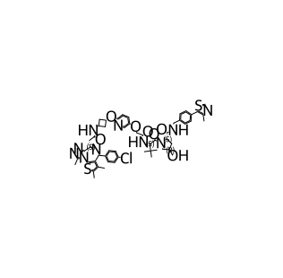 Cc1ncsc1-c1ccc(CNC(=O)[C@@H]2C[C@@H](O)CN2C(=O)[C@@H](NC(=O)COc2ccc(OC3CC(NC(=O)C[C@@H]4N=C(c5ccc(Cl)cc5)c5c(sc(C)c5C)-n5c(C)nnc54)C3)nc2)C(C)(C)C)cc1